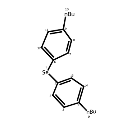 CCCCc1ccc([Se]c2ccc(CCCC)cc2)cc1